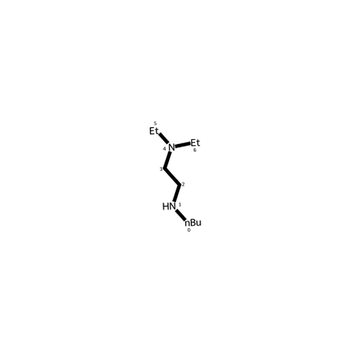 CCCCNCCN(CC)CC